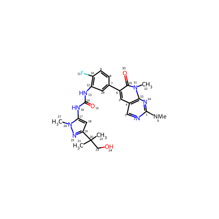 CNc1ncc2cc(-c3ccc(F)c(NC(=O)Nc4cc(C(C)(C)CO)nn4C)c3)c(=O)n(C)c2n1